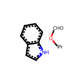 CC(C)OC=O.c1ccc2[nH]ccc2c1